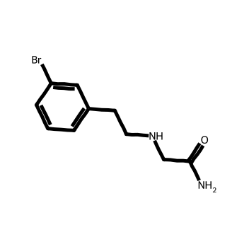 NC(=O)CNCCc1cccc(Br)c1